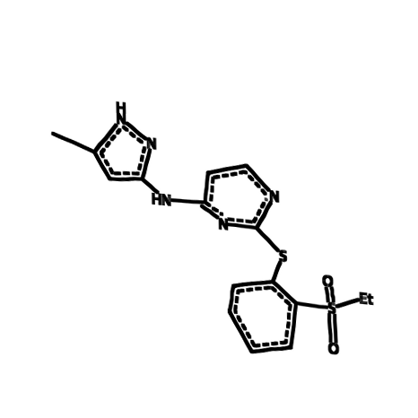 CCS(=O)(=O)c1ccccc1Sc1nccc(Nc2cc(C)[nH]n2)n1